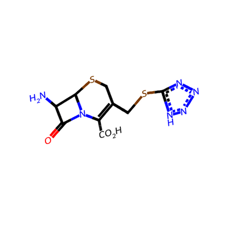 NC1C(=O)N2C(C(=O)O)=C(CSc3nnn[nH]3)CSC12